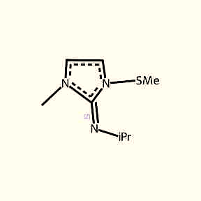 CSn1ccn(C)/c1=N/C(C)C